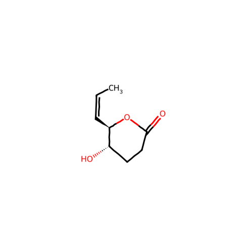 C/C=C\[C@H]1OC(=O)CC[C@@H]1O